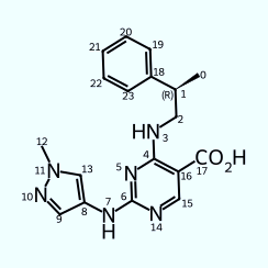 C[C@@H](CNc1nc(Nc2cnn(C)c2)ncc1C(=O)O)c1ccccc1